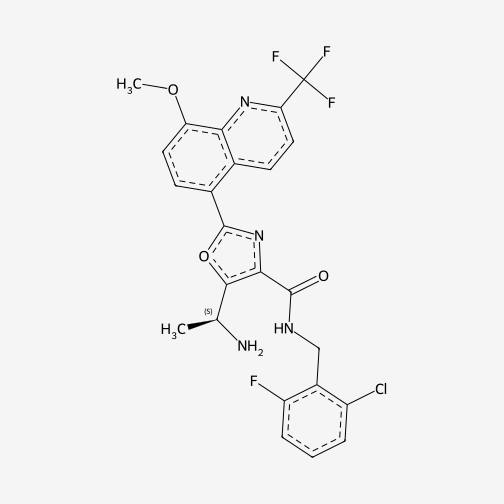 COc1ccc(-c2nc(C(=O)NCc3c(F)cccc3Cl)c([C@H](C)N)o2)c2ccc(C(F)(F)F)nc12